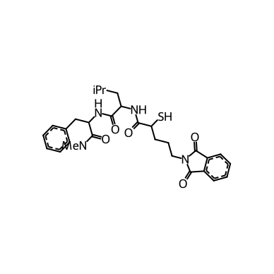 CNC(=O)C(Cc1ccccc1)NC(=O)C(CC(C)C)NC(=O)C(S)CCCN1C(=O)c2ccccc2C1=O